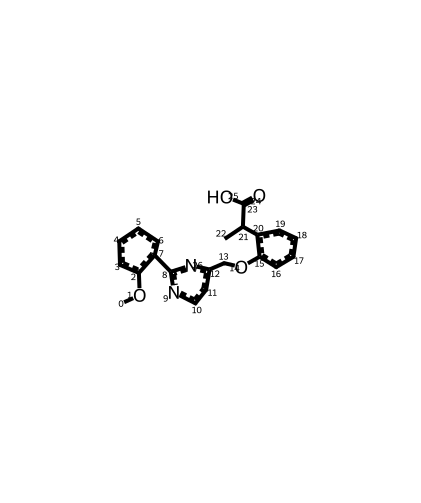 COc1ccccc1-c1nccc(COc2ccccc2C(C)C(=O)O)n1